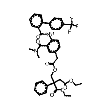 CCOC(=O)CC(COC(=O)Cc1ccc(NC(=O)c2ccccc2-c2ccc(C(F)(F)F)cc2)c(C(=O)N(C)C)c1)(C(=O)OCC)c1ccccc1